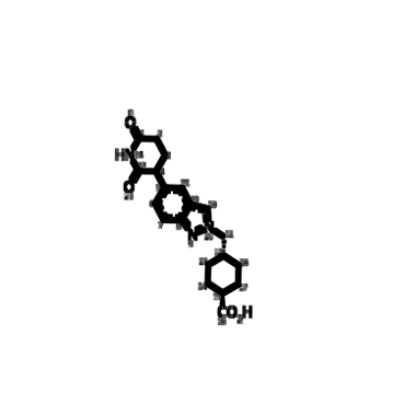 O=C1CCC(c2ccc3nn(C[C@H]4CC[C@H](C(=O)O)CC4)cc3c2)C(=O)N1